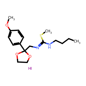 CCCCNC(=NCC1(c2ccc(OC)cc2)OCCO1)SC.I